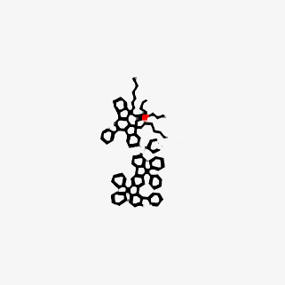 CCCCCCCC1(CCCCCCC)c2ccccc2-c2c1c1c(c3c2oc2ccccc23)-c2ccc(N(c3ccncc3)c3ccc4c(c3)C(c3ccccc3)(c3ccccc3)c3cc5c(cc3-4)C(c3ccccc3)(c3ccccc3)c3ccc4oc6ccccc6c4c3-5)cc2C1(CCCCCCC)CCCCCCC